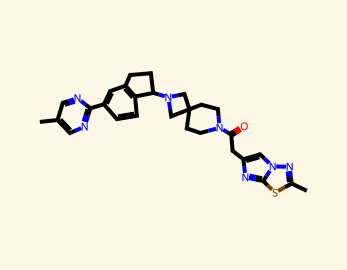 Cc1cnc(-c2ccc3c(c2)CCC3N2CC3(CCN(C(=O)Cc4cn5nc(C)sc5n4)CC3)C2)nc1